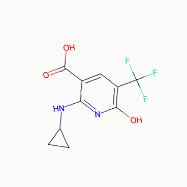 O=C(O)c1cc(C(F)(F)F)c(O)nc1NC1CC1